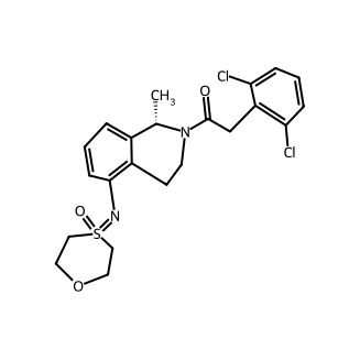 C[C@H]1c2cccc(N=S3(=O)CCOCC3)c2CCN1C(=O)Cc1c(Cl)cccc1Cl